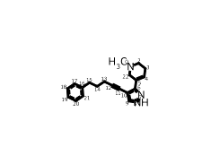 CN1CCC=C(c2n[nH]cc2C#CCCCc2ccccc2)C1